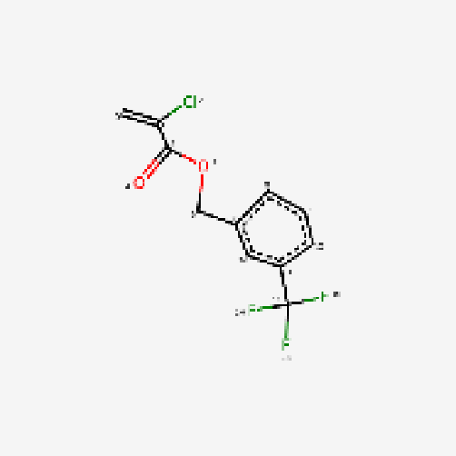 C=C(Cl)C(=O)OCc1cccc(C(F)(F)F)c1